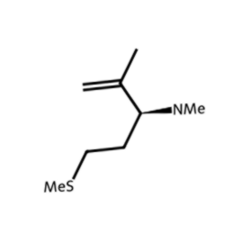 C=C(C)[C@H](CCSC)NC